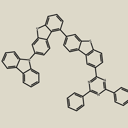 c1ccc(-c2nc(-c3ccccc3)nc(-c3ccc4sc5cc(-c6cccc7sc8cc(-n9c%10ccccc%10c%10ccccc%109)ccc8c67)ccc5c4c3)n2)cc1